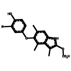 Cc1cc2[nH]c(OC(=O)O)c(C)c2c(C)c1Oc1ccc(O)c(C(C)C)c1